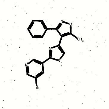 Cc1onc(-c2ccccc2)c1-c1csc(-c2cncc(Br)c2)n1